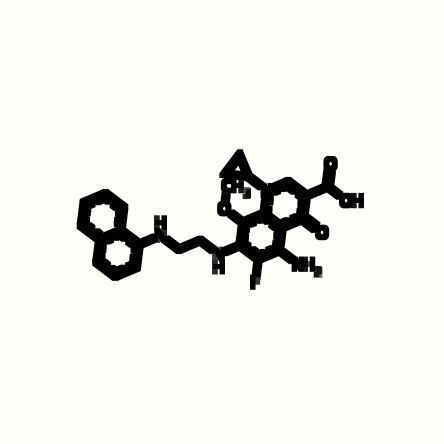 COc1c(NCCNc2cccc3ccccc23)c(F)c(N)c2c(=O)c(C(=O)O)cn(C3CC3)c12